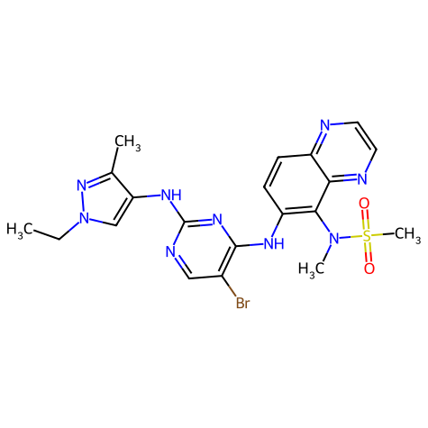 CCn1cc(Nc2ncc(Br)c(Nc3ccc4nccnc4c3N(C)S(C)(=O)=O)n2)c(C)n1